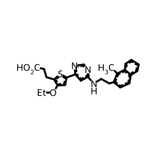 CCOc1cc(-c2cc(NCCc3ccc4ccccc4c3C)ncn2)sc1CCC(=O)O